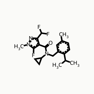 Cc1ccc(C(C)C)c(CN(C(=O)c2c(C(F)F)nn(C)c2F)C2CC2)c1